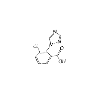 O=C(O)c1cccc(Cl)c1-n1cncn1